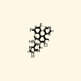 Cc1c(Cl)cc(C(C)Nc2ncnc3[nH]cnc23)c(-c2cc(F)cc(F)c2)c1-c1ccncc1